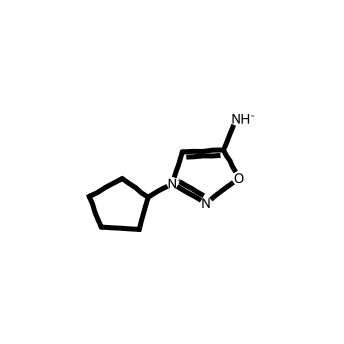 [NH-]c1c[n+](C2CCCC2)no1